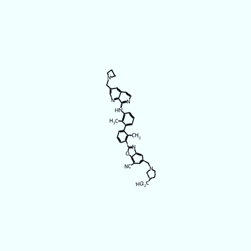 Cc1c(Nc2nccc3cc(CN4CCC4)cnc23)cccc1-c1cccc(-c2nc3cc(CN4CCC(C(=O)O)C4)cc(C#N)c3o2)c1C